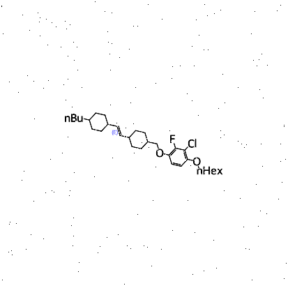 CCCCCCOc1ccc(OCC2CCC(/C=C/C3CCC(CCCC)CC3)CC2)c(F)c1Cl